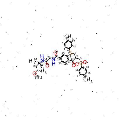 Cc1ccc(SCC(CS(=O)(=O)c2ccc(C)cc2)C(=O)c2ccc(C(=O)NCC(=O)NC(C)(C)CCOC(C)(C)C)cc2)cc1